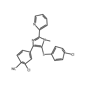 Cn1c(-c2ccccn2)nc(-c2ccc(C#N)c(Cl)c2)c1Sc1ccc(Cl)cc1